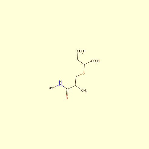 CC(C)NC(=O)C(C)CSC(CC(=O)O)C(=O)O